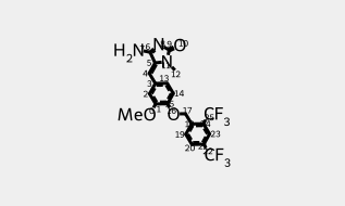 COc1cc(/C=C2/C(N)=NC(=O)N2C)ccc1OCc1ccc(C(F)(F)F)cc1C(F)(F)F